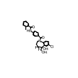 Cc1ccccc1C(=O)Nc1ccc(C(=O)N2CCC(F)(F)[C@](O)(CO)c3cc(Cl)ccc32)cc1